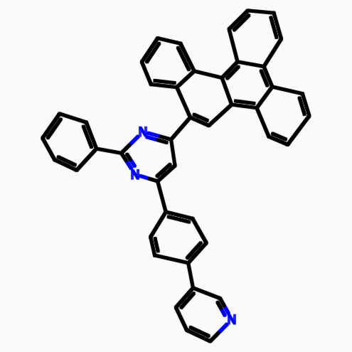 c1ccc(-c2nc(-c3ccc(-c4cccnc4)cc3)cc(-c3cc4c5ccccc5c5ccccc5c4c4ccccc34)n2)cc1